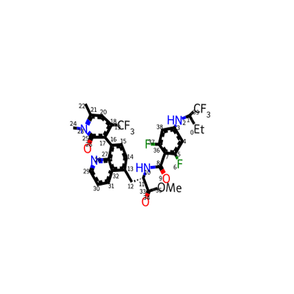 CCC(Nc1cc(F)c(C(=O)N[C@@H](Cc2ccc(-c3c(C(F)(F)F)cc(C)n(C)c3=O)c3ncccc23)C(=O)OC)c(F)c1)C(F)(F)F